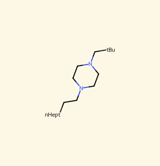 CCCCCCCCCN1CCN(CC(C)(C)C)CC1